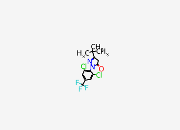 CC(C)(C)C1=NN(c2c(Cl)cc(C(F)(F)F)cc2Cl)C(=O)C1